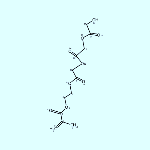 C=C(C)C(=O)OCCOC(=O)COC(=O)COC(=O)CO